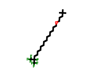 CC(C)(C)CCCOCCCCCCCCCCCCCCC(F)(C(F)(F)F)C(F)(F)F